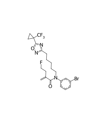 C=C(CCF)C(=O)N(CCCCCc1noc(C2(C(F)(F)F)CC2)n1)c1cccc(Br)c1